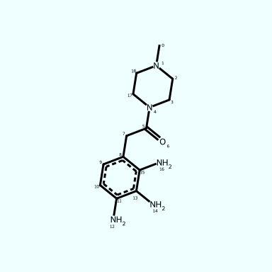 CN1CCN(C(=O)Cc2ccc(N)c(N)c2N)CC1